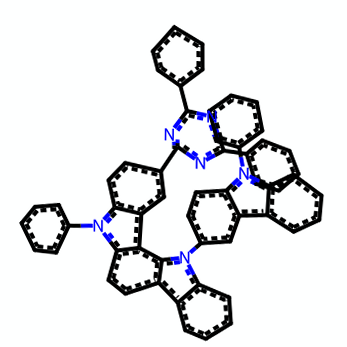 c1ccc(-c2nc(-c3ccccc3)nc(-c3ccc4c(c3)c3c(ccc5c6ccccc6n(-c6ccc7c(c6)c6ccccc6n7-c6ccccc6)c53)n4-c3ccccc3)n2)cc1